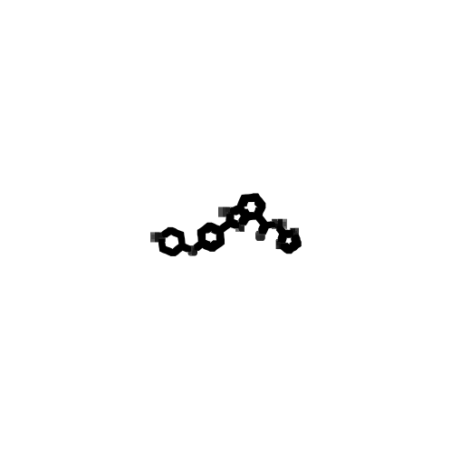 O=C(Nc1nccs1)c1cccc2[nH]c(-c3ccc(OC4CCNCC4)cc3)nc12